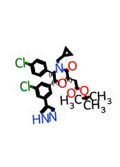 CC(C)(C)OC(=O)C[C@H]1O[C@H](c2cc(Cl)cc(-c3cn[nH]c3)c2)[C@@H](c2ccc(Cl)cc2)N(CC2CC2)C1=O